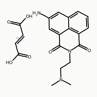 CN(C)CCN1C(=O)c2cccc3cc(N)cc(c23)C1=O.O=C(O)/C=C/C(=O)O